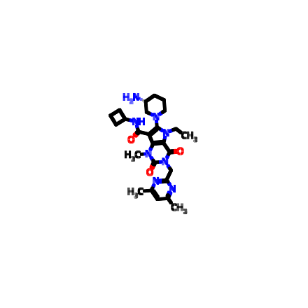 CCn1c(N2CCC[C@@H](N)C2)c(C(=O)NC2CCC2)c2c1c(=O)n(Cc1nc(C)cc(C)n1)c(=O)n2C